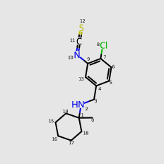 CC1(NCc2ccc(Cl)c(N=C=S)c2)CCCCC1